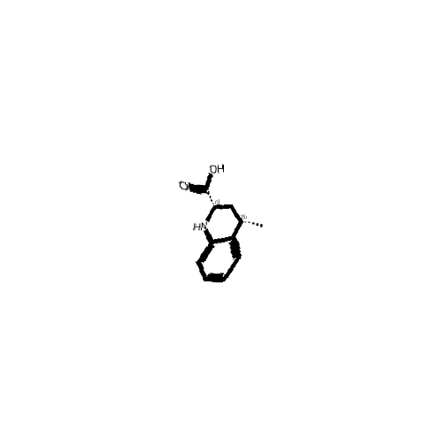 C[C@H]1C[C@@H](C(=O)O)Nc2ccccc21